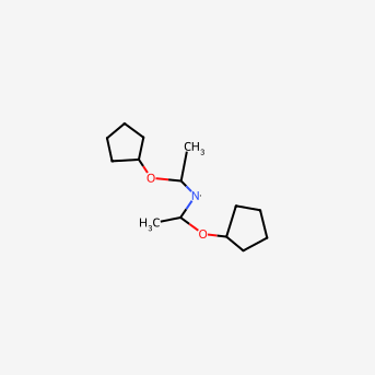 CC([N]C(C)OC1CCCC1)OC1CCCC1